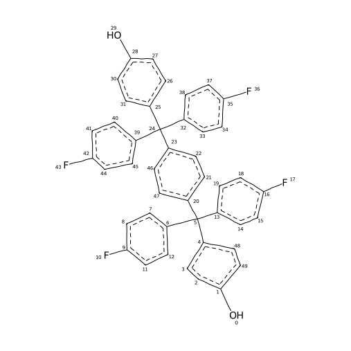 Oc1ccc(C(c2ccc(F)cc2)(c2ccc(F)cc2)c2ccc(C(c3ccc(O)cc3)(c3ccc(F)cc3)c3ccc(F)cc3)cc2)cc1